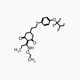 CCONC(CC)=C1C(=O)CC(CCSc2ccc(OC(F)(F)C(F)F)cc2)CC1=O